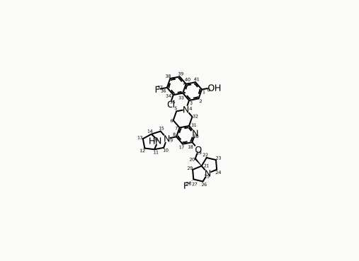 Oc1cc(N2CCc3c(N4CC5CCC(C4)N5)cc(OC[C@@]45CCCN4C[C@H](F)C5)nc3C2)c2c(Cl)c(F)ccc2c1